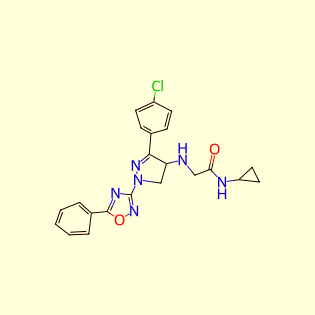 O=C(CNC1CN(c2noc(-c3ccccc3)n2)N=C1c1ccc(Cl)cc1)NC1CC1